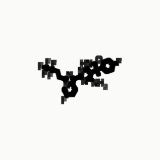 CC1(c2ccc(F)cc2)C(=O)Nc2nc(-c3nc(CCC(F)(F)C(F)(F)F)n4cc(F)ccc34)nc(N)c21